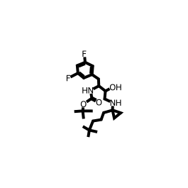 CC(C)(C)CCCC1(NCC(O)C(Cc2cc(F)cc(F)c2)NC(=O)OC(C)(C)C)CC1